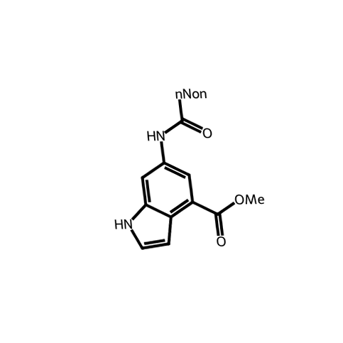 CCCCCCCCCC(=O)Nc1cc(C(=O)OC)c2cc[nH]c2c1